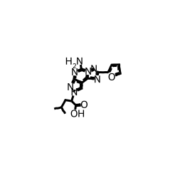 CC(C)CC(C(=O)O)n1cc2c(nc(N)n3nc(-c4ccco4)nc23)n1